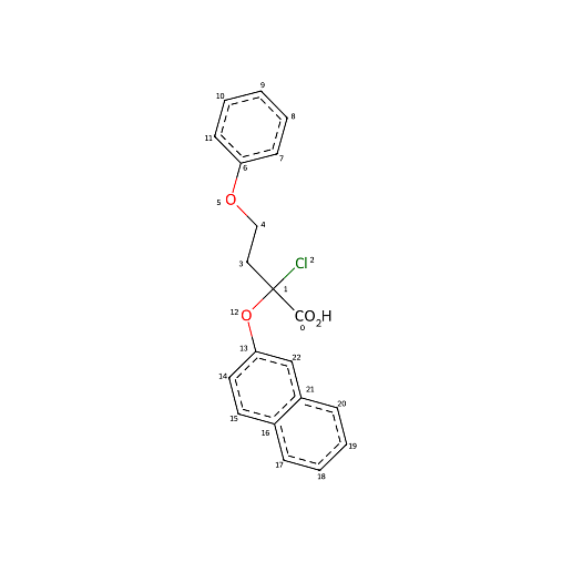 O=C(O)C(Cl)(CCOc1ccccc1)Oc1ccc2ccccc2c1